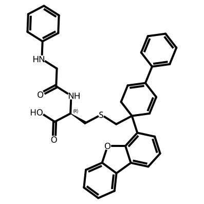 O=C(CNc1ccccc1)N[C@@H](CSCC1(c2cccc3c2oc2ccccc23)C=CC(c2ccccc2)=CC1)C(=O)O